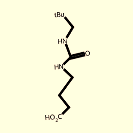 CC(C)(C)CNC(=O)NCCCC(=O)O